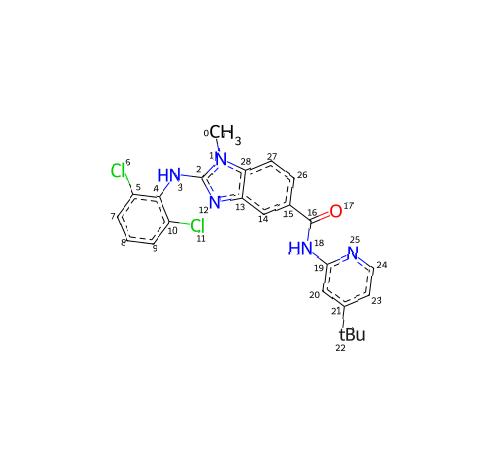 Cn1c(Nc2c(Cl)cccc2Cl)nc2cc(C(=O)Nc3cc(C(C)(C)C)ccn3)ccc21